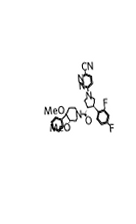 CO[C@H]1CN(C(=O)[C@@H]2CN(c3ccc(C#N)nn3)C[C@H]2c2ccc(F)cc2F)CC[C@]1(OC)c1ccccc1